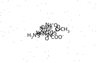 CO/N=C(\C(=O)N[C@@H]1C(=O)N2C(C(=O)[O-])=C(Sc3cc(C)oc(=O)c3)CS[C@H]12)c1csc(N)n1.[Na+]